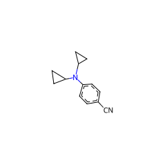 N#Cc1ccc(N(C2CC2)C2CC2)cc1